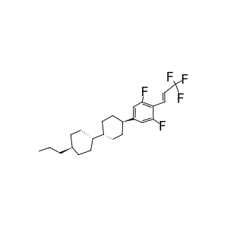 CCC[C@H]1CC[C@H]([C@H]2CC[C@H](c3cc(F)c(C=CC(F)(F)F)c(F)c3)CC2)CC1